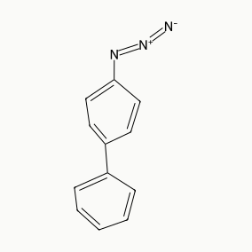 [N-]=[N+]=Nc1ccc(-c2ccccc2)cc1